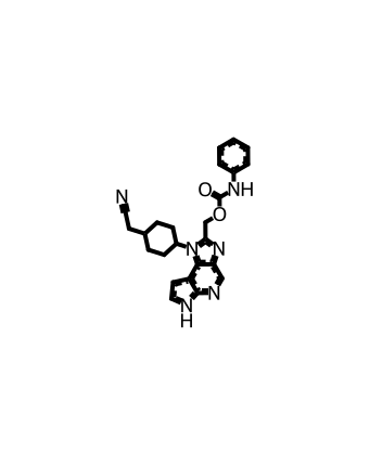 N#CCC1CCC(n2c(COC(=O)Nc3ccccc3)nc3cnc4[nH]ccc4c32)CC1